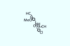 C#CCOc1ccc(CCNC(=O)[C@H](Cc2ccc(Cl)cc2)OCC#C)cc1OC